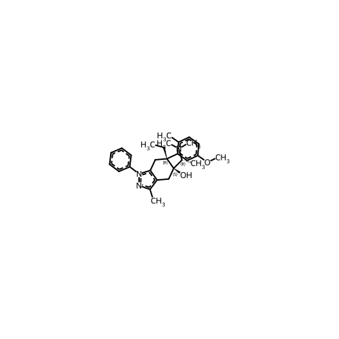 CC[C@]1(c2cc(OC)ccc2C)Cc2c(c(C)nn2-c2ccccc2)C[C@@]1(O)[C@@H](C)N(C)C